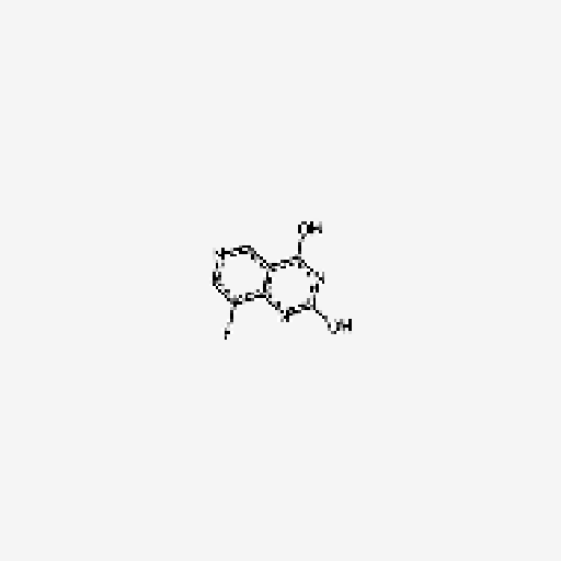 Oc1nc(O)c2cncc(F)c2n1